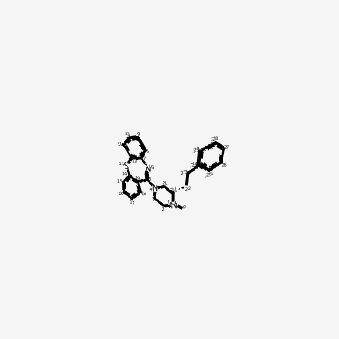 CN1CCN(C2=Nc3ccccc3Sc3ccccc32)C[C@@H]1CCc1ccccc1